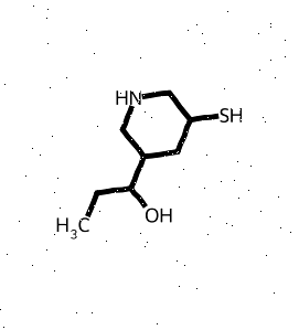 CCC(O)C1CNCC(S)C1